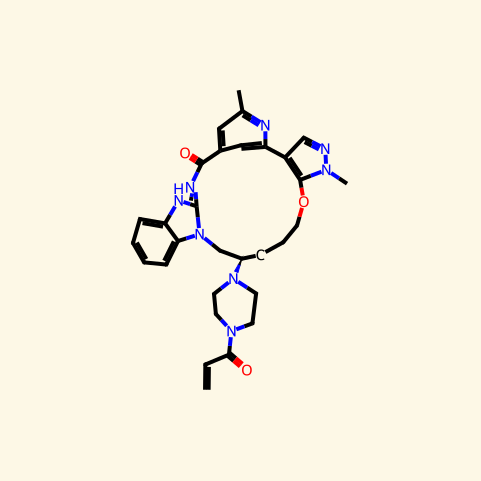 C=CC(=O)N1CCN([C@@H]2CCCOc3c(cnn3C)-c3cc(cc(C)n3)C(=O)/N=C3\Nc4ccccc4N3C2)CC1